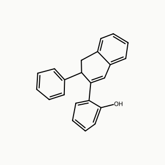 Oc1ccccc1C1=Cc2ccccc2CC1c1ccccc1